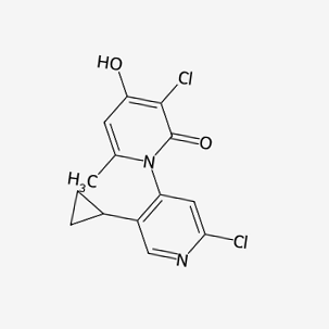 Cc1cc(O)c(Cl)c(=O)n1-c1cc(Cl)ncc1C1CC1